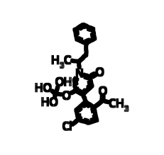 CC(=O)c1ccc(Cl)cc1-c1cc(=O)n(C(C)Cc2ccccc2)cc1OC(O)(O)O